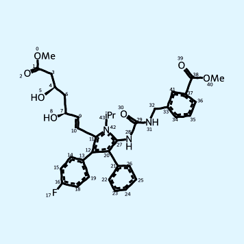 COC(=O)C[C@H](O)C[C@H](O)C=Cc1c(-c2ccc(F)cc2)c(-c2ccccc2)c(NC(=O)NCc2cccc(C(=O)OC)c2)n1C(C)C